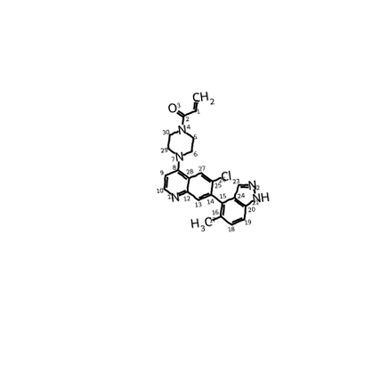 C=CC(=O)N1CCN(c2ccnc3cc(-c4c(C)ccc5[nH]ncc45)c(Cl)cc23)CC1